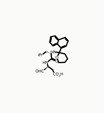 CC(C)C[C@H](NC1(c2cccc3ccccc23)CCCCO1)C(=O)N[C@H](C=O)CC(=O)O